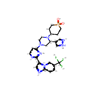 O=S1(=O)CCC(N2CCN(c3ccnc(-c4cnc5ccc(C(F)(F)F)cn45)n3)C[C@@H]2c2cn[nH]c2)CC1